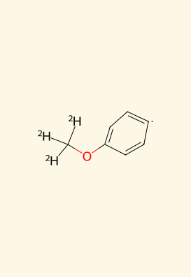 [2H]C([2H])([2H])Oc1cc[c]cc1